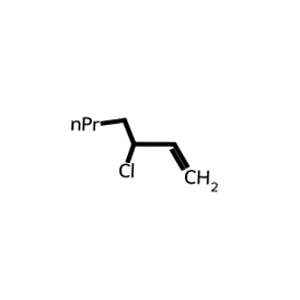 C=CC(Cl)CCCC